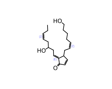 CC/C=C\CC(O)C/C=C1/C(=O)C=CC1C/C=C\CCCCO